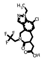 CCn1ncc2c3c(cc(Cl)c21)CC(CC(=O)O)C(=O)N(CC(F)(F)F)C3